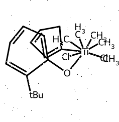 CC(C)(C)c1ccccc1[O][Ti]([CH3])([CH3])([CH3])([CH3])([CH3])([Cl])([Cl])[C]1=CC=CC1